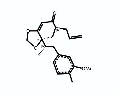 C=CC[C@H]1C[C@]2([C@@H](C)Cc3ccc(C)c(OC)c3)OCOC2=CC1=O